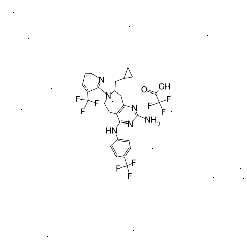 Nc1nc2c(c(Nc3ccc(C(F)(F)F)cc3)n1)CCN(c1ncccc1C(F)(F)F)C(CC1CC1)C2.O=C(O)C(F)(F)F